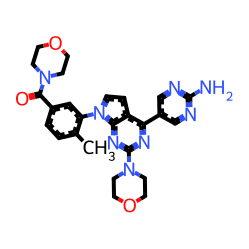 Cc1ccc(C(=O)N2CCOCC2)cc1-n1ccc2c(-c3cnc(N)nc3)nc(N3CCOCC3)nc21